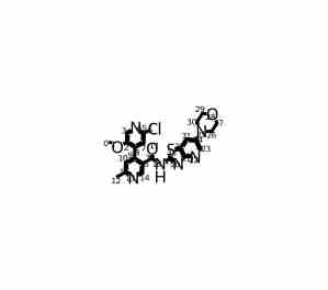 COc1cnc(Cl)cc1-c1cc(C)ncc1C(=O)Nc1nc2ncc(N3CCOCC3)cc2s1